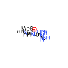 CCCN(CCC)CCCCN(CCC(=O)OC)Cc1ccc(CN(CC2=NCCN2)Cc2ncc[nH]2)cc1